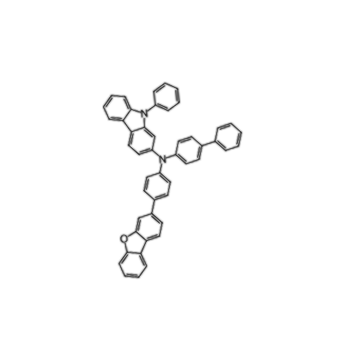 c1ccc(-c2ccc(N(c3ccc(-c4ccc5c(c4)oc4ccccc45)cc3)c3ccc4c5ccccc5n(-c5ccccc5)c4c3)cc2)cc1